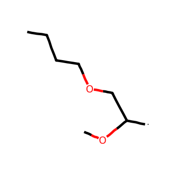 [CH2]C(COCCCC)OC